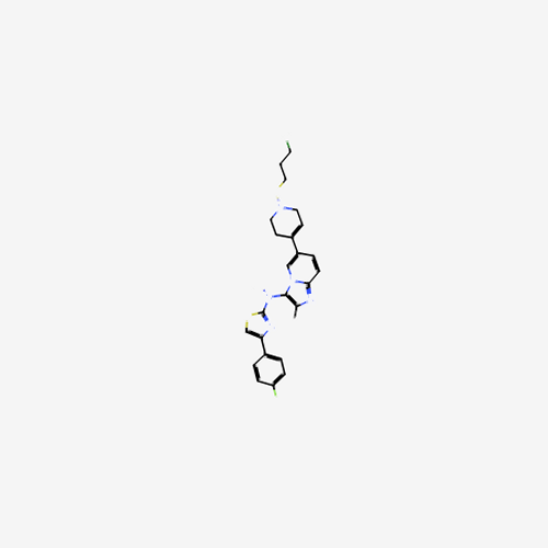 CCc1nc2ccc(C3=CCN(SCCCCl)CC3)cn2c1N(C)c1nc(-c2ccc(F)cc2)cs1